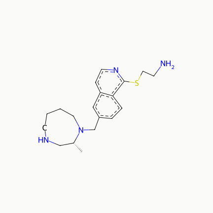 C[C@@H]1CNCCCCN1Cc1ccc2c(SCCN)nccc2c1